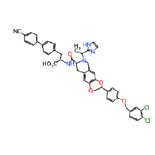 CC(c1ncc[nH]1)N1Cc2cc3c(cc2C[C@H]1C(=O)NC(Cc1ccc(-c2ccc(C#N)cc2)cc1)C(=O)O)OC[C@H](c1ccc(OCc2ccc(Cl)c(Cl)c2)cc1)O3